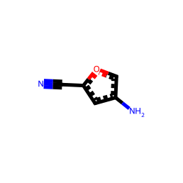 N#Cc1cc(N)co1